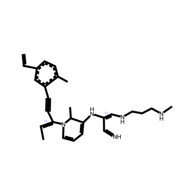 C=Cc1ccc(C)c(C#C/C(=C/C)N2C=CC=C(N/C(C=N)=C/NCCCNC)C2C)c1